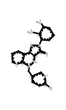 Cc1cccc(-n2nc3c4cccnc4n(Cc4ccc(Cl)nc4)nc-3c2=O)c1C